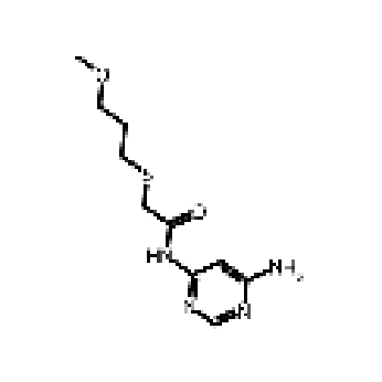 COCCCSCC(=O)Nc1cc(N)ncn1